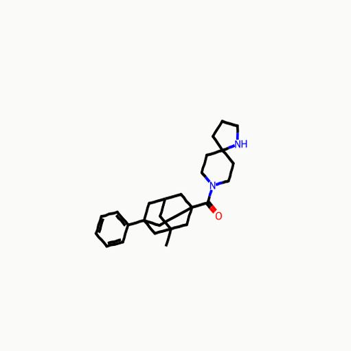 CC12CC3CC(C(=O)N4CCC5(CCCN5)CC4)(C1)CC(c1ccccc1)(C3)C2